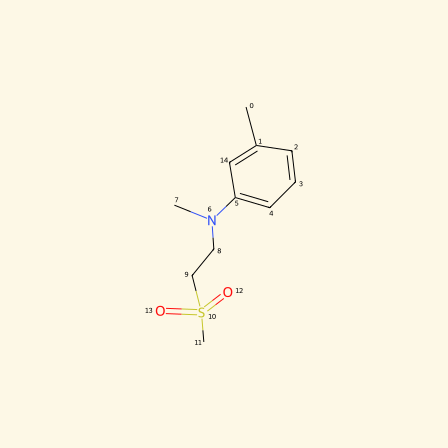 Cc1cccc(N(C)CCS(C)(=O)=O)c1